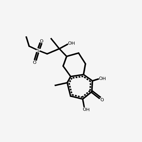 CCS(=O)(=O)CC(C)(O)C1CCc2c(c(C)cc(O)c(=O)c2O)C1